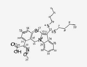 CCCCSC(SCCCC)c1c(Br)n(Cc2ccccc2C(=NOC)C(=O)O)c2ccccc12